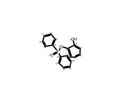 O=P(Oc1ccccc1O)(c1ccccc1)c1ccccc1